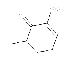 COC1=CCCC(C)C1=O